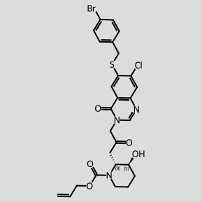 C=CCOC(=O)N1CCC[C@H](O)[C@H]1CC(=O)Cn1cnc2cc(Cl)c(SCc3ccc(Br)cc3)cc2c1=O